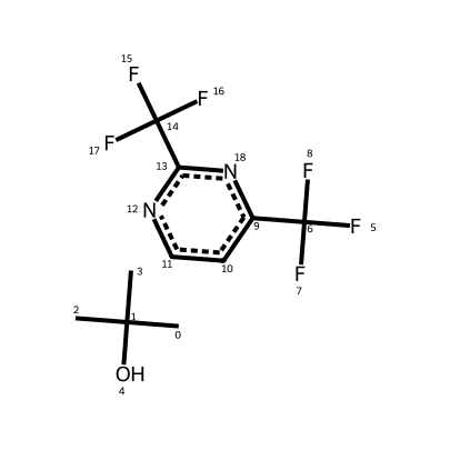 CC(C)(C)O.FC(F)(F)c1ccnc(C(F)(F)F)n1